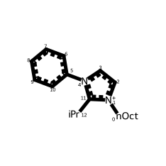 CCCCCCCC[n+]1ccn(-c2ccccc2)c1C(C)C